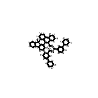 CC1(C)c2ccccc2-c2cccc(-c3c(-c4nc(-c5cccc(-c6ccccc6)c5)nc(-c5cccc(-c6ccccc6)c5)n4)c4ccccc4c4ccccc34)c21